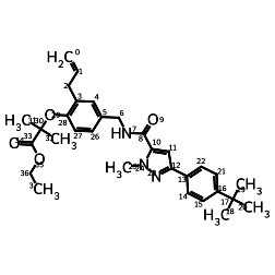 C=CCc1cc(CNC(=O)c2cc(-c3ccc(C(C)(C)C)cc3)nn2C)ccc1OC(C)(C)C(=O)OCC